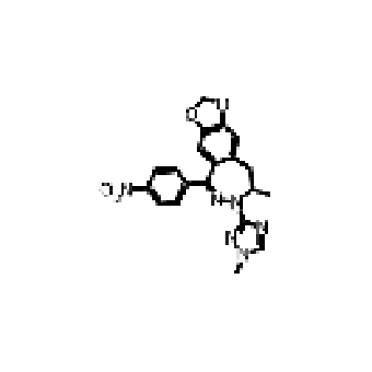 CC1Cc2cc3c(cc2C(c2ccc([N+](=O)[O-])cc2)=NN1c1ncn(C)n1)OCO3